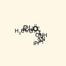 CC(C)c1cnc(NC(=O)Cc2cccc(OCCN(C)C)c2)s1